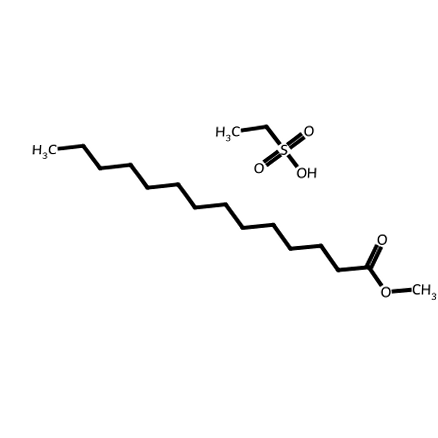 CCCCCCCCCCCCCC(=O)OC.CCS(=O)(=O)O